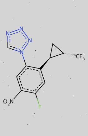 O=[N+]([O-])c1cc(-n2cnnn2)c([C@H]2C[C@@H]2C(F)(F)F)cc1F